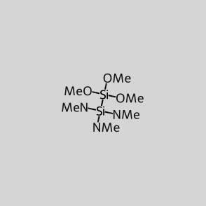 CN[Si](NC)(NC)[Si](OC)(OC)OC